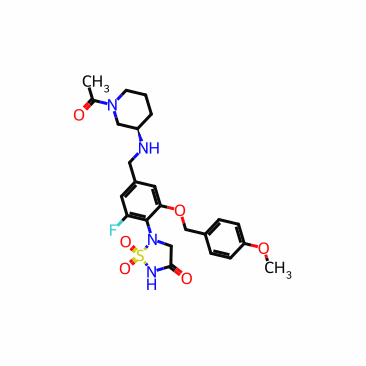 COc1ccc(COc2cc(CN[C@@H]3CCCN(C(C)=O)C3)cc(F)c2N2CC(=O)NS2(=O)=O)cc1